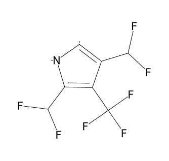 FC(F)C1=[C][N]C(C(F)F)=C1C(F)(F)F